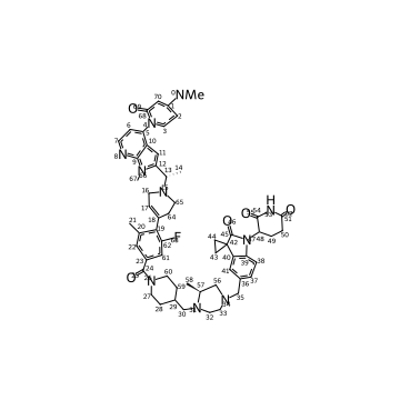 CNc1ccn(-c2ccnc3c2cc([C@H](C)N2CC=C(c4c(C)cc(C(=O)N5CCC(CN6CCN(Cc7ccc8c(c7)C7(CC7)C(=O)N8C7CCC(=O)NC7=O)C[C@@H]6C)CC5)cc4F)CC2)n3C)c(=O)c1